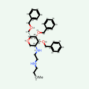 COCCNCCN[C@H]1CO[C@H](COCc2ccccc2)[C@H](OCc2ccccc2)[C@@H]1OCc1ccccc1